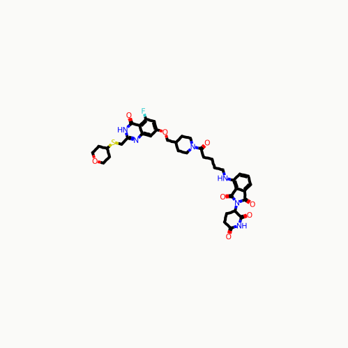 O=C1CCC(N2C(=O)c3cccc(NCCCCC(=O)N4CCC(COc5cc(F)c6c(=O)[nH]c(CSC7CCOCC7)nc6c5)CC4)c3C2=O)C(=O)N1